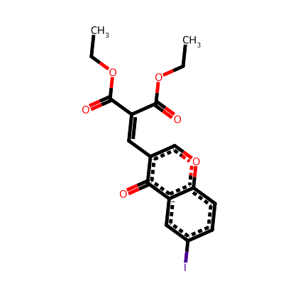 CCOC(=O)C(=Cc1coc2ccc(I)cc2c1=O)C(=O)OCC